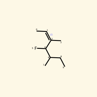 C/C=C(/C)C(F)C(C)CC